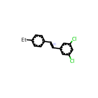 CCc1ccc(/C=C/c2cc(Cl)cc(Cl)c2)cc1